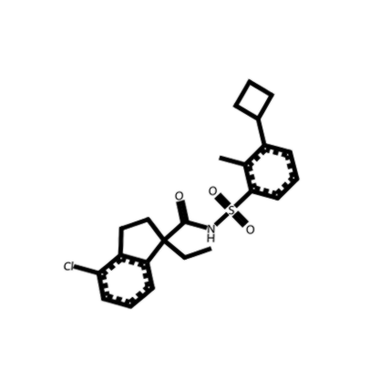 CCC1(C(=O)NS(=O)(=O)c2cccc(C3CCC3)c2C)CCc2c(Cl)cccc21